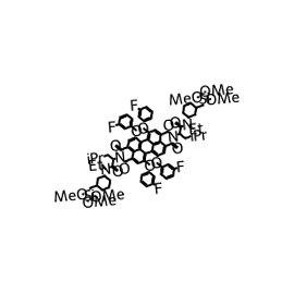 CCN(C(=O)C(CC(C)C)N1C(=O)c2cc(Oc3cccc(F)c3)c3c4c(Oc5cccc(F)c5)cc5c6c(cc(Oc7cccc(F)c7)c(c7c(Oc8cccc(F)c8)cc(c2c37)C1=O)c64)C(=O)N(C(CC(C)C)C(=O)N(CC)C1CCCC(C[Si](OC)(OC)OC)C1)C5=O)C1CCCC(C[Si](OC)(OC)OC)C1